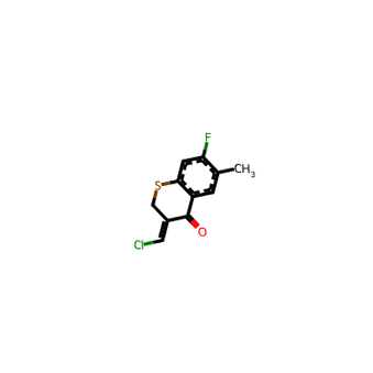 Cc1cc2c(cc1F)SCC(=CCl)C2=O